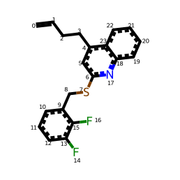 C=CCCc1cc(SCc2cccc(F)c2F)nc2ccccc12